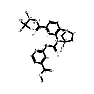 COC(=O)c1ccnc(NC(=O)N2c3nc(C(=O)N[C@H](C)C(F)(F)F)ccc3N3CC[C@H]2C3)c1